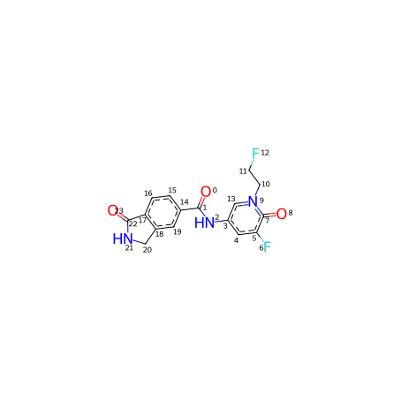 O=C(Nc1cc(F)c(=O)n(CCF)c1)c1ccc2c(c1)CNC2=O